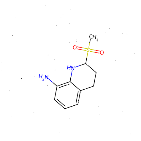 CS(=O)(=O)C1CCc2cccc(N)c2N1